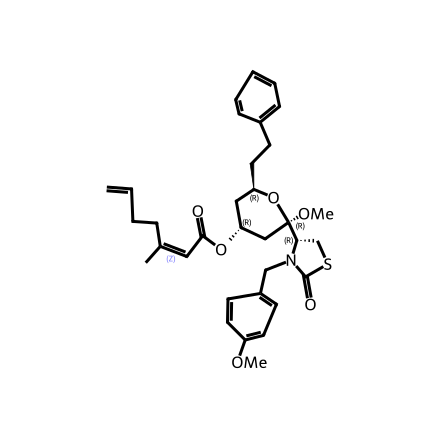 C=CCC/C(C)=C\C(=O)O[C@@H]1C[C@@H](CCc2ccccc2)O[C@@](OC)([C@@H]2CSC(=O)N2Cc2ccc(OC)cc2)C1